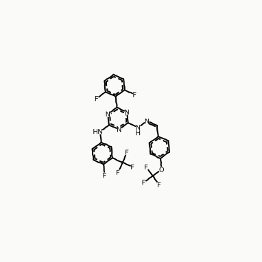 Fc1ccc(Nc2nc(N/N=C\c3ccc(OC(F)(F)F)cc3)nc(-c3c(F)cccc3F)n2)cc1C(F)(F)F